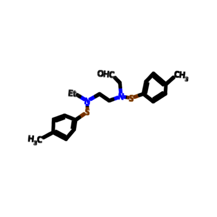 CCN(CCN(CC=O)Sc1ccc(C)cc1)Sc1ccc(C)cc1